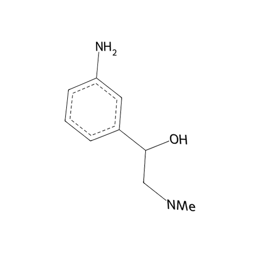 CNCC(O)c1cccc(N)c1